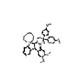 COc1ccc(C2(c3ccc(OC)cc3)C=Cc3c4c(c5cc(SC)c(SC)cc5c3O2)-c2ccccc2C42CCCCCCC2)cc1